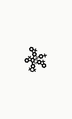 CC(C)(C)c1ccc(N2B3c4cc5c(cc4-n4c6cc7c(cc6c6c8c(c(c3c64)-c3cc4c(cc32)C(C)(C)c2ccccc2-4)C(C)(C)c2ccccc2-8)C(C)(C)CCC7(C)C)-c2ccccc2C5(C)C)cc1